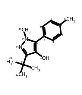 Cc1ccc(-c2c(O)c(C(C)(C)C)nn2C)cc1